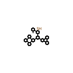 Cc1ccccc1-c1cc(-c2cc(-c3ccc4c(c3)-c3ccccc3-c3ccccc3-c3ccccc3-4)cc(-c3ccc4c5ccccc5c5ccccc5c4c3)c2)ccc1S